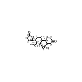 CC[C@]12CCC3[C@@H](C4C[C@@H]4C4=CC(=O)CC[C@@]43C)C1CC[C@@]21CCC(=O)O1